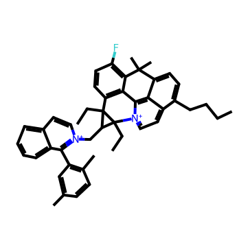 CCCCc1ccc2c3c4[n+](ccc13)C1(CC)C(C[n+]3ccc5ccccc5c3-c3cc(C)ccc3C)C1(CC)c1ccc(F)c(c1-4)C2(C)C